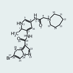 CC1NC=C(NC(=O)CN2CCCCCC2)C=C1NC(=O)c1cnn2cc(Br)sc12